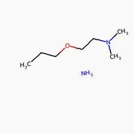 CCCOCCN(C)C.N